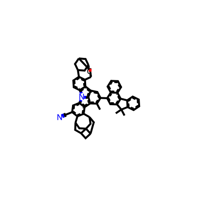 Cc1c(-c2cc3c(c4ccccc24)-c2ccccc2C3(C)C)cc2c3c4c(ccc3n3c5cc(C#N)c6c(c5c1c23)C1CC2CC3CC6CC32C1)C1CC2CC(C1)CC4C2